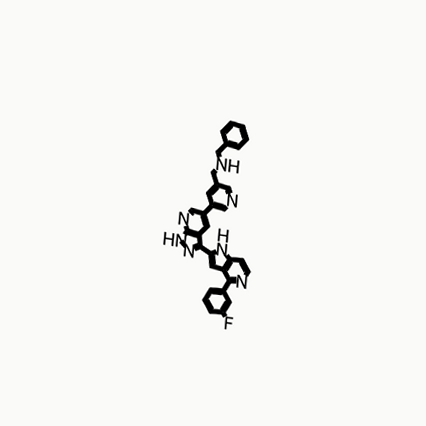 Fc1cccc(-c2nccc3[nH]c(-c4n[nH]c5ncc(-c6cncc(CNCc7ccccc7)c6)cc45)cc23)c1